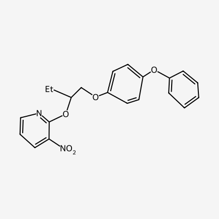 CCC(COc1ccc(Oc2ccccc2)cc1)Oc1ncccc1[N+](=O)[O-]